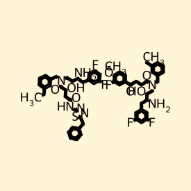 CCc1cccc(CN(C[C@@H](O)[C@@H](N)Cc2cc(F)cc(F)c2)C(=O)CCC(=O)Nc2nnc(Cc3ccccc3)s2)c1.CCc1cccc(CN(C[C@@H](O)[C@@H](N)Cc2cc(F)cc(F)c2)C(=O)CCC(=O)c2ccc(OC)c(F)c2)c1